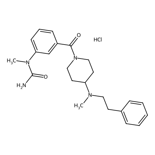 CN(C(N)=O)c1cccc(C(=O)N2CCC(N(C)CCc3ccccc3)CC2)c1.Cl